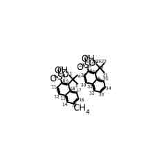 C.CC(C)(C)c1c(S(=O)(=O)O)ccc2ccccc12.CC(C)(C)c1c(S(=O)(=O)O)ccc2ccccc12